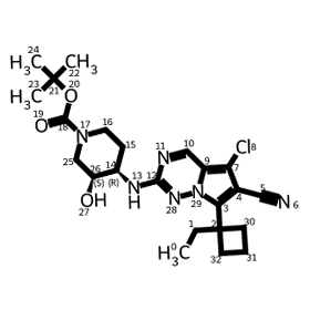 CCC1(c2c(C#N)c(Cl)c3cnc(N[C@@H]4CCN(C(=O)OC(C)(C)C)C[C@@H]4O)nn23)CCC1